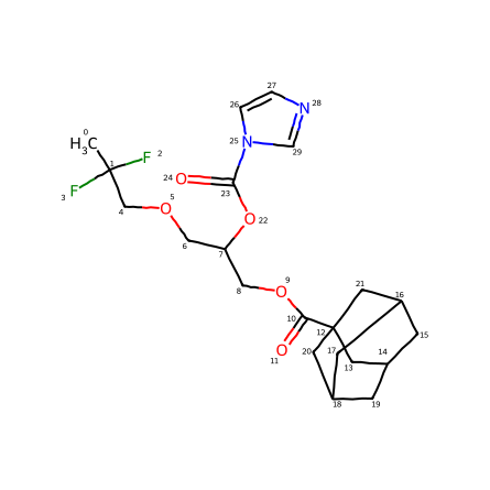 CC(F)(F)COCC(COC(=O)C12CC3CC(CC(C3)C1)C2)OC(=O)n1ccnc1